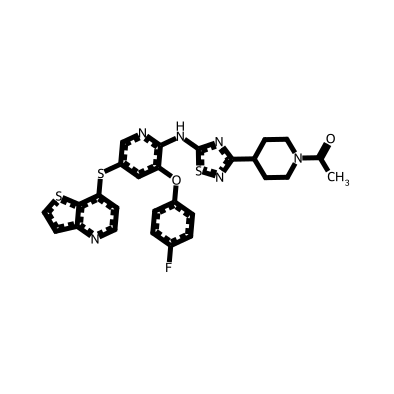 CC(=O)N1CCC(c2nsc(Nc3ncc(Sc4ccnc5ccsc45)cc3Oc3ccc(F)cc3)n2)CC1